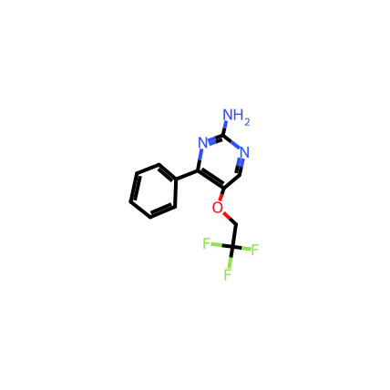 Nc1ncc(OCC(F)(F)F)c(-c2ccccc2)n1